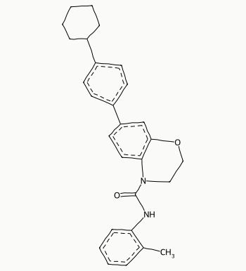 Cc1ccccc1NC(=O)N1CCOc2cc(-c3ccc(C4CCCCC4)cc3)ccc21